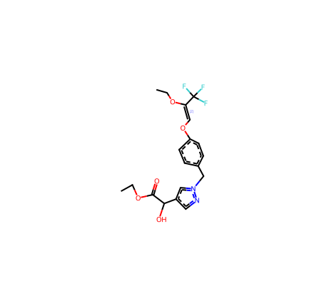 CCOC(=O)C(O)c1cnn(Cc2ccc(O/C=C(\OCC)C(F)(F)F)cc2)c1